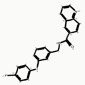 O=C(NCc1cccc(Oc2ccc(F)cc2)c1)c1ccc2ncccc2c1